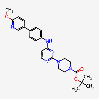 COc1ccc(-c2ccc(Nc3ccnc(N4CCN(C(=O)OC(C)(C)C)CC4)n3)cc2)cn1